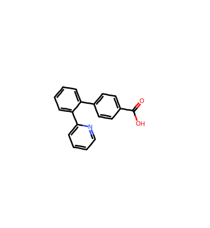 O=C(O)c1ccc(-c2ccccc2-c2ccccn2)cc1